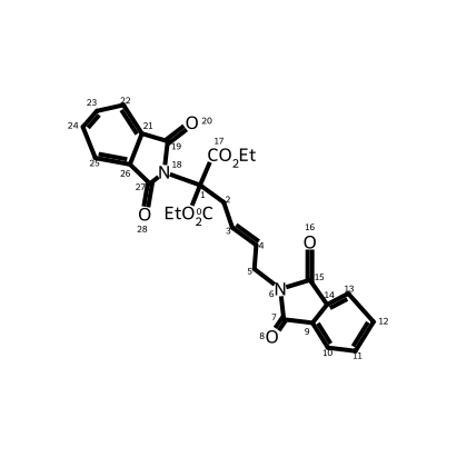 CCOC(=O)C(C/C=C/CN1C(=O)c2ccccc2C1=O)(C(=O)OCC)N1C(=O)c2ccccc2C1=O